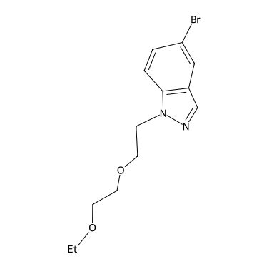 CCOCCOCCn1ncc2cc(Br)ccc21